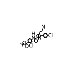 CC(C)OC(=O)c1ccc(NC(=O)N2CC(CCC#N)C(c3ccc(Cl)cc3)=N2)cc1Cl